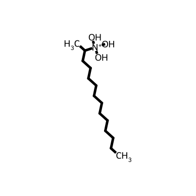 CCCCCCCCCCCCC(C)[N+](O)(O)O